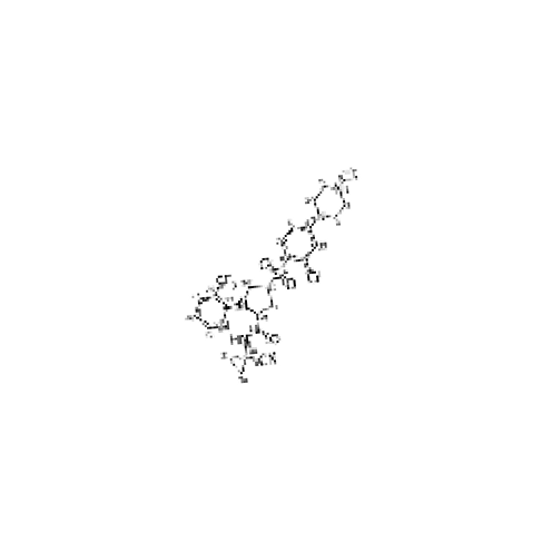 CCN1CCN(c2ccc(S(=O)(=O)C3CC(C(=O)NC4(C#N)CC4)N(c4ncccc4C(F)(F)F)C3)c(Cl)c2)CC1